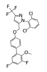 COc1c(F)cc(F)cc1-c1ccc(OCc2cc(C(F)(F)F)nn2-c2c(Cl)cccc2Cl)cc1